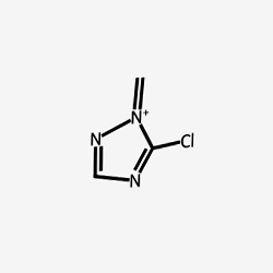 C=[N+]1N=CN=C1Cl